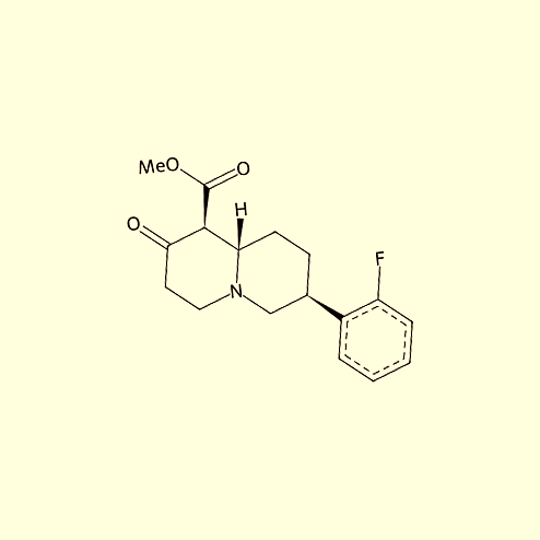 COC(=O)[C@@H]1C(=O)CCN2C[C@H](c3ccccc3F)CC[C@@H]12